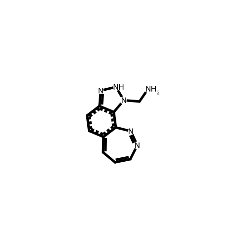 NCN1NN=c2ccc3c(c21)N=NC=CC=3